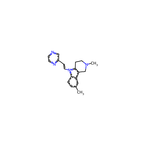 Cc1ccc2c(c1)c1c(n2C=Cc2cnccn2)CCN(C)C1